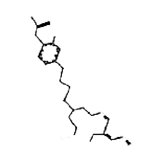 C=N/C=C(\C=N/CCC(CCCCc1ccc(CC(=C)C)c(F)c1)CCNC)CC(C)(C)C